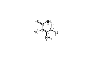 CCN(C)/C(N)=C(/C#N)C(N)=S